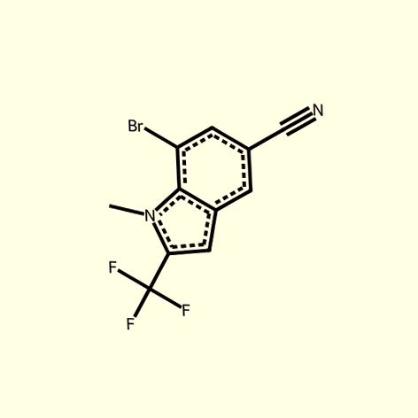 Cn1c(C(F)(F)F)cc2cc(C#N)cc(Br)c21